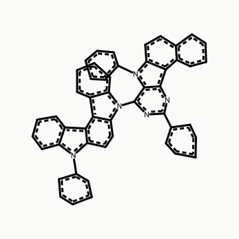 c1ccc(-c2nc(-n3c4ccccc4c4c5c6ccccc6n(-c6ccccc6)c5ccc43)c3c(n2)c2c4ccccc4ccc2n3-c2ccccc2)cc1